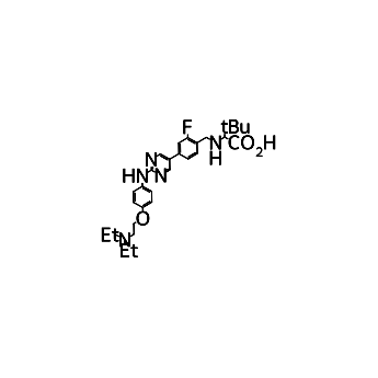 CCN(CC)CCOc1ccc(Nc2ncc(-c3ccc(CNC(C(=O)O)C(C)(C)C)c(F)c3)cn2)cc1